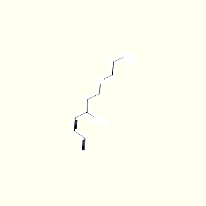 C=C/C=C\C(N)CCOCCN